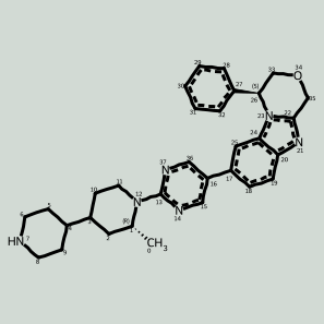 C[C@@H]1CC(C2CCNCC2)CCN1c1ncc(-c2ccc3nc4n(c3c2)[C@@H](c2ccccc2)COC4)cn1